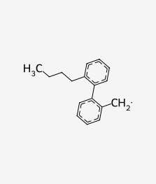 [CH2]c1ccccc1-c1ccccc1CCCC